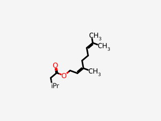 CC(C)=CCCC(C)=CCOC(=O)CC(C)C